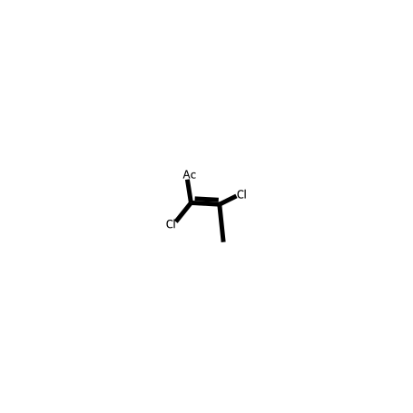 CC(=O)/C(Cl)=C(/C)Cl